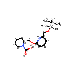 CC(C)(C)[Si](C)(C)OCc1cccc(OC[C@@H]2CCCCN2C(=O)O)n1